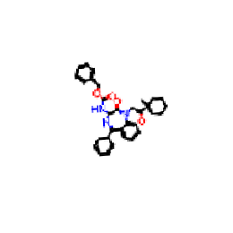 CC1(C(=O)CN2C(=O)C(NC(=O)OCc3ccccc3)N=C(c3ccccc3)c3ccccc32)CCCCC1